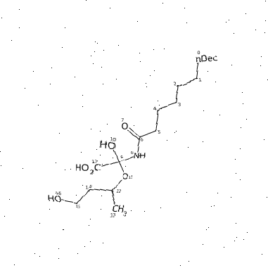 CCCCCCCCCCCCCCCC(=O)NC(O)(OC(C)CCO)C(=O)O